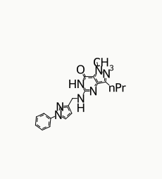 CCCc1nn(C)c2c(=O)[nH]c(NCc3ccn(-c4ccccc4)n3)nc12